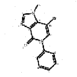 Cn1cnc2c(=O)n(-c3ccccc3)cc(Br)c21